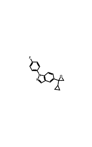 Fc1ccc(-n2ncc3cc(C4(C5CC5)CO4)ccc32)cc1